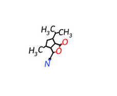 CC(C)C1CC(C)C2C(C#N)OC(=O)C12